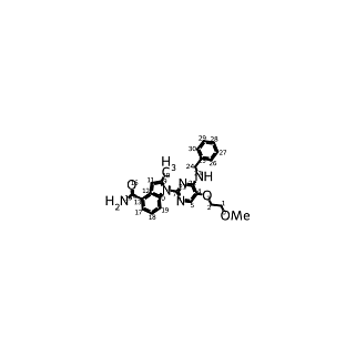 COCCOc1cnc(-n2c(C)cc3c(C(N)=O)cccc32)nc1NCc1ccccc1